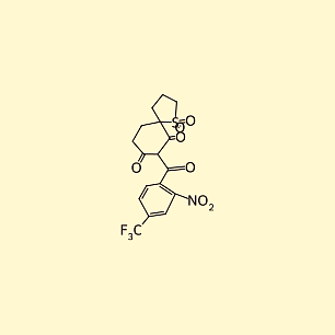 O=C1CCC2(CCCS2(=O)=O)C(=O)C1C(=O)c1ccc(C(F)(F)F)cc1[N+](=O)[O-]